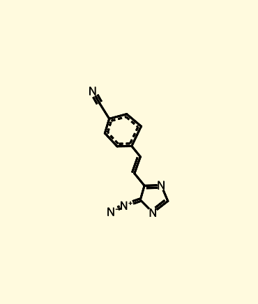 N#Cc1ccc(/C=C/C2=NC=NC2=[N+]=[N-])cc1